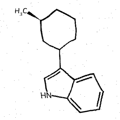 C[C@H]1CCCC(c2c[nH]c3ccccc23)C1